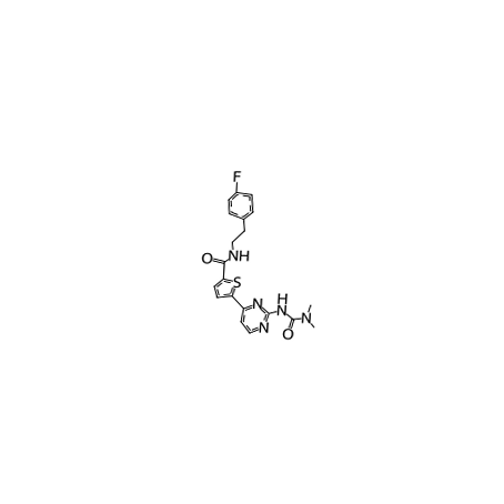 CN(C)C(=O)Nc1nccc(-c2ccc(C(=O)NCCc3ccc(F)cc3)s2)n1